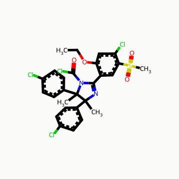 CCOc1cc(Cl)c(S(C)(=O)=O)cc1C1=NC(C)(c2ccc(Cl)cc2)C(C)(c2ccc(Cl)cc2)N1C(=O)Cl